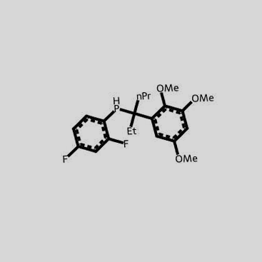 CCCC(CC)(Pc1ccc(F)cc1F)c1cc(OC)cc(OC)c1OC